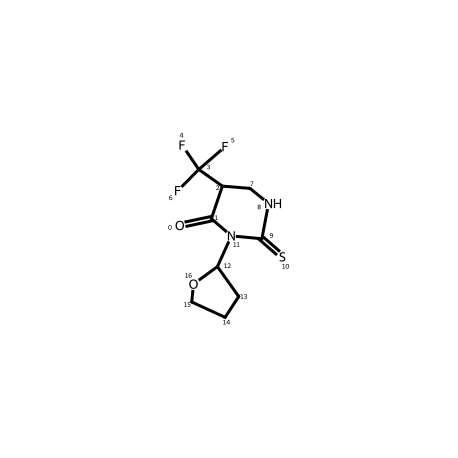 O=C1C(C(F)(F)F)CNC(=S)N1C1CCCO1